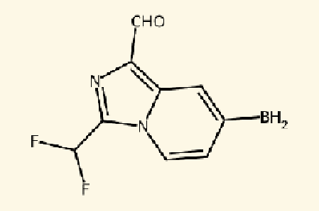 Bc1ccn2c(C(F)F)nc(C=O)c2c1